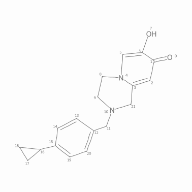 O=c1cc2n(cc1O)CCN(Cc1ccc(C3CC3)cc1)C2